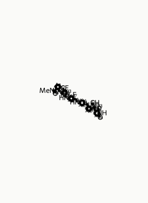 CNC(=O)c1ccccc1Nc1nc(Nc2ccc(CNC3CCN(Cc4cccc5c4n(C)c(=O)n5C4CCC(=O)NC4=O)CC3)c(F)c2)ncc1C(F)(F)F